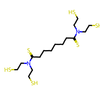 S=C(CCCCCCC(=S)N(CCS)CCS)N(CCS)CCS